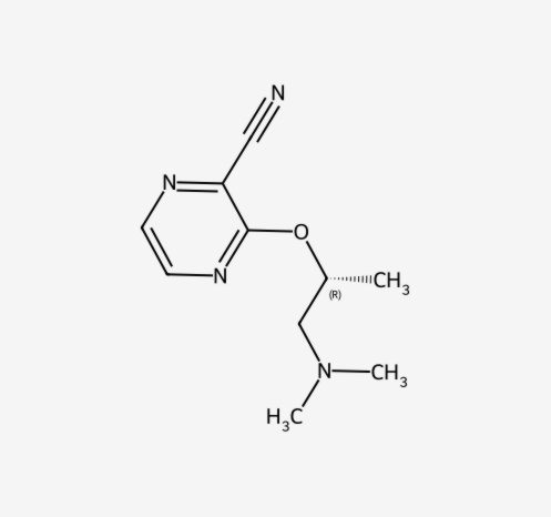 C[C@H](CN(C)C)Oc1nccnc1C#N